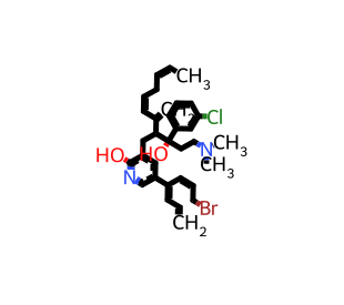 C=C/C=C(\C=C/CBr)c1cnc(O)c(CC(C(=C)/C=C\C/C=C\C)C(O)(CCN(C)C)C2=C=C=CC(Cl)=C2)c1